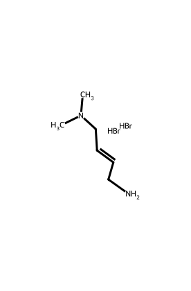 Br.Br.CN(C)CC=CCN